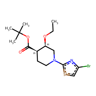 CCO[C@H]1CN(c2nc(Br)cs2)CC[C@H]1C(=O)OC(C)(C)C